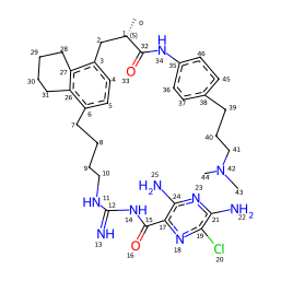 C[C@@H](Cc1ccc(CCCCNC(=N)NC(=O)c2nc(Cl)c(N)nc2N)c2c1CCCC2)C(=O)Nc1ccc(CCCN(C)C)cc1